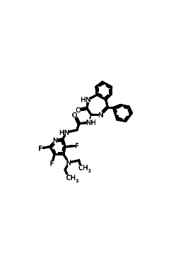 CCN(CC)c1c(F)c(F)nc(NCC(=O)N[C@H]2N=C(c3ccccc3)c3ccccc3NC2=O)c1F